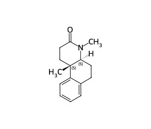 CN1C(=O)CC[C@@]2(C)c3ccccc3CC[C@H]12